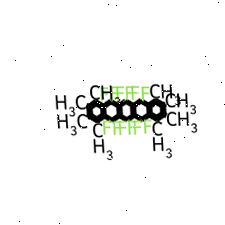 Cc1c(C)c(C)c2c(c1C)C(F)(F)C1=C(C(F)(F)C3=C(C1(F)F)C(F)(F)c1c(C)c(C)c(C)c(C)c1C3(F)F)C2(F)F